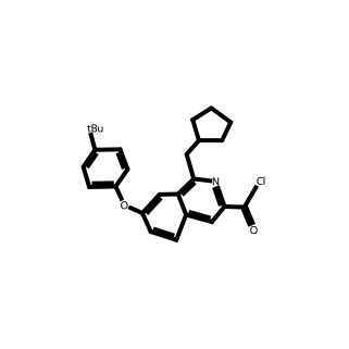 CC(C)(C)c1ccc(Oc2ccc3cc(C(=O)Cl)nc(CC4CCCC4)c3c2)cc1